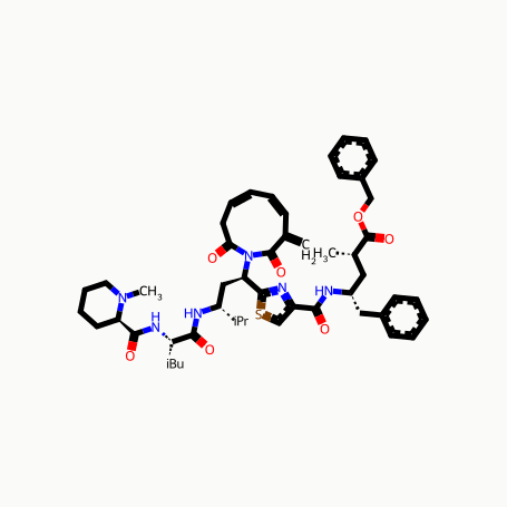 C=C1/C=C\C=C/CC(=O)N([C@H](C[C@@H](NC(=O)[C@@H](NC(=O)[C@H]2CCCCN2C)[C@@H](C)CC)C(C)C)c2nc(C(=O)N[C@@H](Cc3ccccc3)C[C@H](C)C(=O)OCc3ccccc3)cs2)C1=O